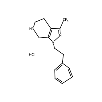 Cl.FC(F)(F)c1nn(CCc2ccccc2)c2c1CCNC2